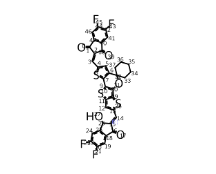 O=C1C(=Cc2cc3c(s2)-c2sc4cc(/C=C5/C(=O)c6cc(F)c(F)cc6C5O)sc4c2OC32CCCCC2)C(=O)c2cc(F)c(F)cc21